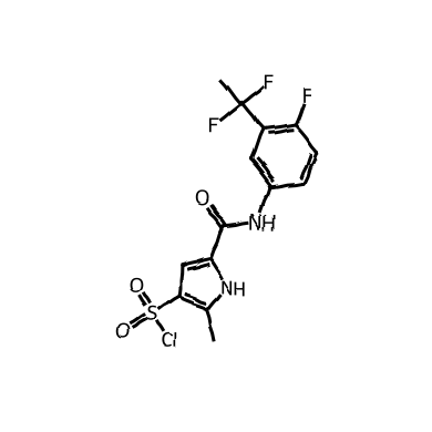 Cc1[nH]c(C(=O)Nc2ccc(F)c(C(C)(F)F)c2)cc1S(=O)(=O)Cl